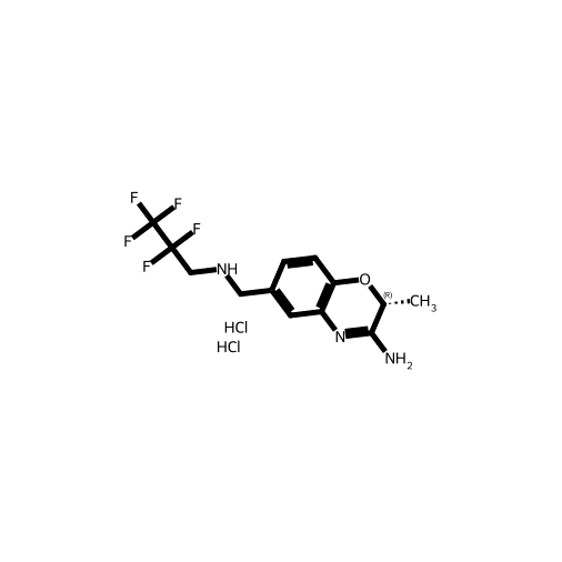 C[C@H]1Oc2ccc(CNCC(F)(F)C(F)(F)F)cc2N=C1N.Cl.Cl